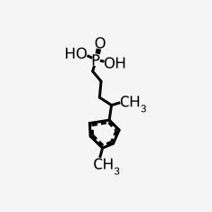 Cc1ccc(C(C)CCCP(=O)(O)O)cc1